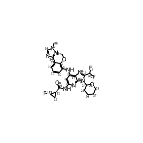 COc1c(Nc2cc(NC(=O)[C@H]3C[C@@H]3F)nc3c2nc(C(F)F)n3C2CCCCO2)cccc1-c1ncn(C)n1